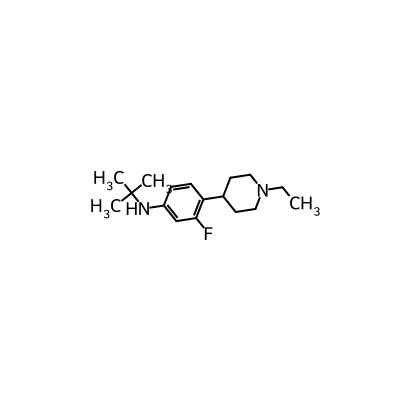 CCN1CCC(c2ccc(NC(C)(C)C)cc2F)CC1